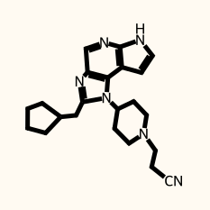 N#CCCN1CCC(n2c(CC3CCCC3)nc3cnc4[nH]ccc4c32)CC1